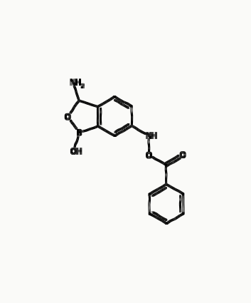 NC1OB(O)c2cc(NOC(=O)c3ccccc3)ccc21